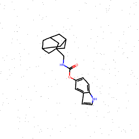 O=C(NCC12CC3CC(CC(C3)C1)C2)Oc1ccc2[nH]ccc2c1